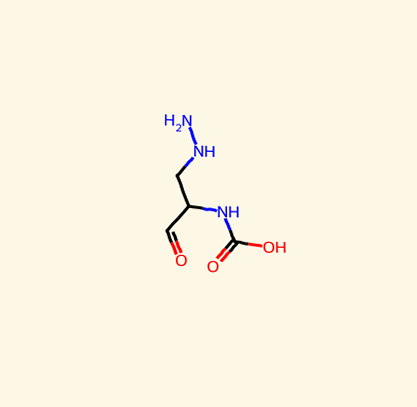 NNCC(C=O)NC(=O)O